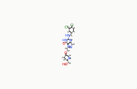 O=c1[nH]c(NCc2ccc(Cl)c(Cl)c2)nc2cnn(CCOc3ccc(CO)nc3)c12